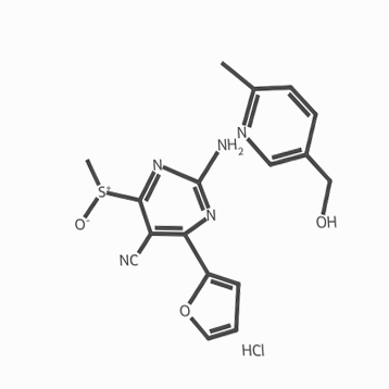 C[S+]([O-])c1nc(N)nc(-c2ccco2)c1C#N.Cc1ccc(CO)cn1.Cl